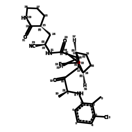 Cc1c(Cl)cccc1N[C@@H](C)C(=O)N1[C@@H]2CC[C@H]([C@H]1C(=O)N[C@@H](C#N)C[C@H]1CCCNC1=O)C(F)(F)C2